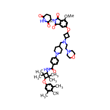 COc1cc(OC2CC(N(CCN3CCOCC3)CC3CCN(c4ccc(C(=O)NC5C(C)(C)C(Oc6cc(C)c(C#N)c(C)c6)C5(C)C)cc4)CC3)C2)cc2c1C(=O)N([C@@H]1CCC(=O)NC1=O)C2=O